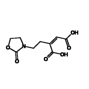 O=C(O)C=C(CCN1CCOC1=O)C(=O)O